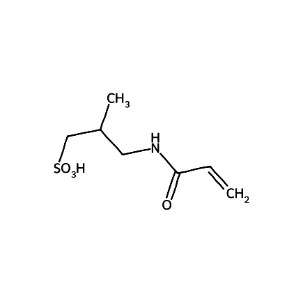 C=CC(=O)NCC(C)CS(=O)(=O)O